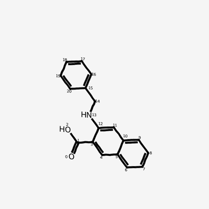 O=C(O)c1cc2ccccc2cc1NCc1ccccc1